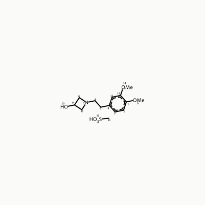 COc1ccc(CCN2CC(O)C2)cc1OC.CS(=O)(=O)O